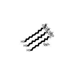 O=P([O-])([O-])OCCCCCCCCCCCCS.O=P([O-])([O-])OCCCCCCCCCCCCS.O=P([O-])([O-])OCCCCCCCCCCCCS.[Ce+3].[Ce+3]